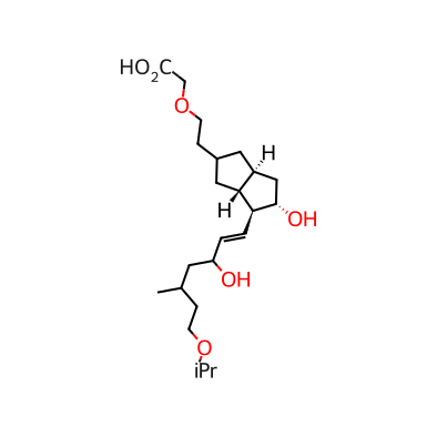 CC(CCOC(C)C)CC(O)C=C[C@H]1[C@@H]2CC(CCOCC(=O)O)C[C@H]2C[C@@H]1O